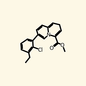 CCc1cccc(C2=CN3C(=CCC=C3C(=O)OC)C=C2)c1Cl